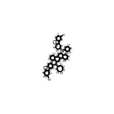 Cc1ccc2oc3c(c2c1)C=C(N(c1ccccc1)c1cc2c4ccccc4c(C(C4=CC=CCC=C4)c4ccc5oc6ccc(C)cc6c5c4)cc2c2ccccc12)CC3